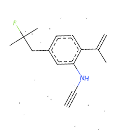 C#CNc1cc(CC(C)(C)F)ccc1C(=C)C